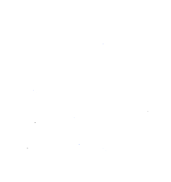 COc1cc2nc(C)nc(Nc3cc(C(C)(C)C)[se]c3C(N)=O)c2cc1OCCCN1CCOCC1